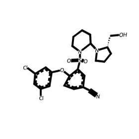 N#Cc1ccc(Oc2cc(Cl)cc(Cl)c2)c(S(=O)(=O)N2CCCCC2N2CCC[C@H]2CO)c1